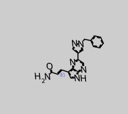 NC(=O)/C=C/c1c[nH]c2ncc(-c3cnn(Cc4ccccc4)c3)nc12